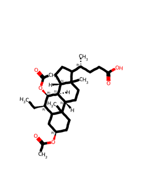 CC[C@@H]1C2C[C@H](OC(C)=O)CCC2(C)[C@H]2CCC3(C)C([C@H](C)CCC(=O)O)CC[C@H]3[C@@H]2[C@@H]1OC(C)=O